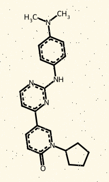 CN(C)c1ccc(Nc2nccc(-c3ccc(=O)n(C4CCCC4)c3)n2)cc1